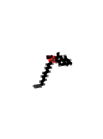 Cc1cc(C)c(-c2cc(C)c(OP(=O)(O)OCCCCCCCCCCCC(=O)[O-])cc2C)c(C)c1.[Na+]